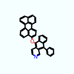 c1ccc(-c2c3ccccc3c(Oc3ccc4c5cccc6cccc(c7cccc3c74)c65)c3ccncc23)cc1